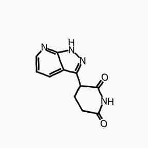 O=C1CCC(c2n[nH]c3ncccc23)C(=O)N1